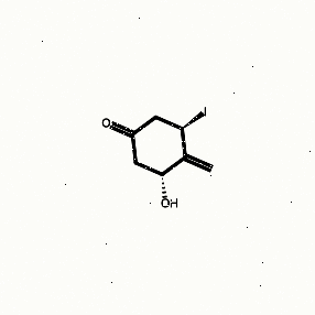 C=C1[C@H](O)CC(=O)C[C@H]1I